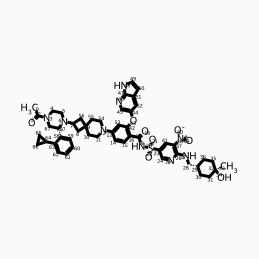 CC(=O)N1CCN(C2CC3(CCN(c4ccc(C(=O)NS(=O)(=O)c5cnc(NC[C@H]6CC[C@](C)(O)CC6)c([N+](=O)[O-])c5)c(Oc5cnc6[nH]ccc6c5)c4)CC3)C2)[C@H](c2ccccc2C2CC2)C1